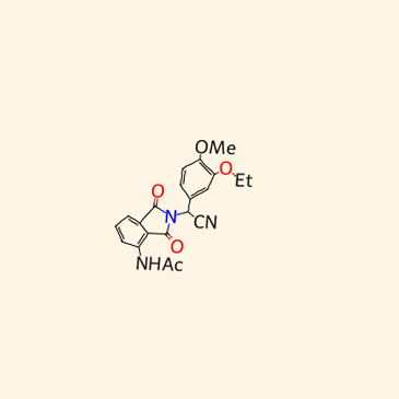 CCOc1cc(C(C#N)N2C(=O)c3cccc(NC(C)=O)c3C2=O)ccc1OC